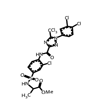 COC(=O)C(C)NS(=O)(=O)c1ccc(NC(=O)c2nc(C(Cl)(Cl)Cl)n(-c3ccc(Cl)c(Cl)c3)n2)c(Cl)c1